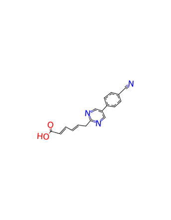 N#Cc1ccc(-c2cnc(C/C=C/C=C/C(=O)O)nc2)cc1